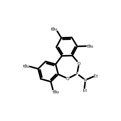 CCN(CC)p1oc2c(C(C)(C)C)cc(C(C)(C)C)cc2c2cc(C(C)(C)C)cc(C(C)(C)C)c2o1